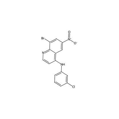 O=[N+]([O-])c1cc(Br)c2nccc(Nc3cccc(Cl)c3)c2c1